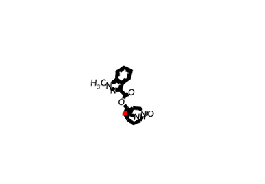 Cn1nc(C(=O)OC2CC3CC4C[N+](=O)C(C3)NC42)c2ccccc21